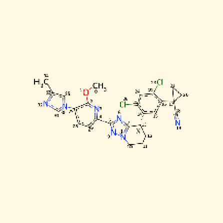 COc1nc(-c2nc3n(n2)CCC[C@H]3c2cc(C3(C#N)CC3)c(Cl)cc2Cl)ccc1-n1cnc(C)c1